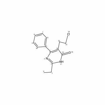 CCc1nc(-c2ccccc2)c(CCCl)c(=O)[nH]1